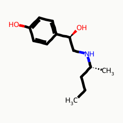 CCC[C@@H](C)NC[C@H](O)c1ccc(O)cc1